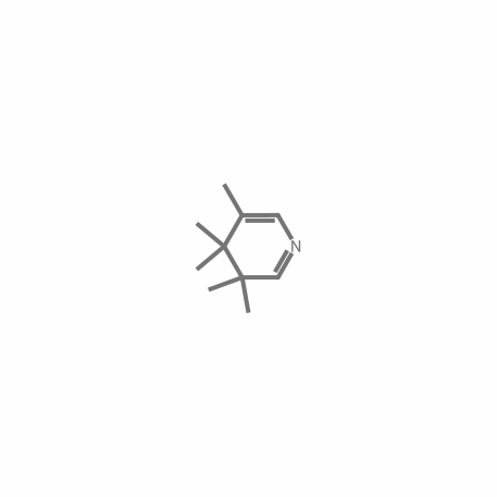 CC1=CN=CC(C)(C)C1(C)C